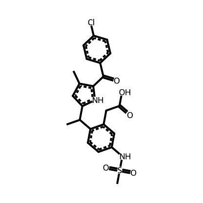 Cc1cc(C(C)c2ccc(NS(C)(=O)=O)cc2CC(=O)O)[nH]c1C(=O)c1ccc(Cl)cc1